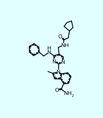 Cc1cc2c(C(N)=O)cccc2n1-c1ncc(CNC(=O)CC2CCCC2)c(NCc2ccccc2)n1